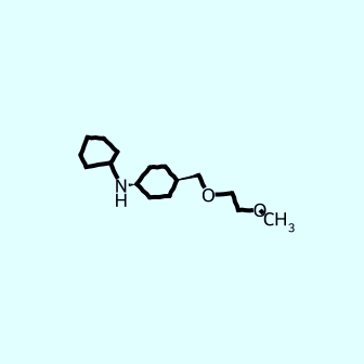 COCCOC[C@H]1CC[C@H](NC2CCCCC2)CC1